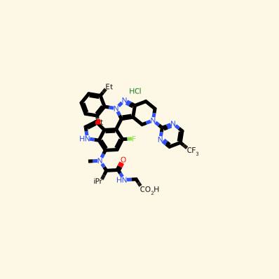 CCc1cccc(CC)c1-n1nc2c(c1-c1c(F)cc(N(C)C(C(=O)NCC(=O)O)C(C)C)c3[nH]ccc13)CN(c1ncc(C(F)(F)F)cn1)CC2.Cl